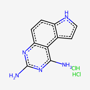 Cl.Cl.Nc1nc(N)c2c(ccc3[nH]ccc32)n1